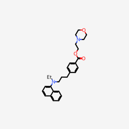 CCN(CCCc1ccc(C(=O)OCCN2CCOCC2)cc1)c1cccc2ccccc12